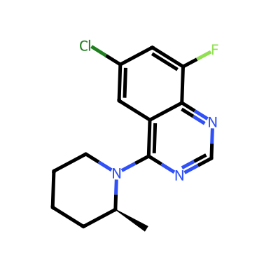 C[C@H]1CCCCN1c1ncnc2c(F)cc(Cl)cc12